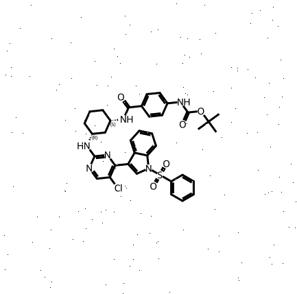 CC(C)(C)OC(=O)Nc1ccc(C(=O)N[C@H]2CCC[C@@H](Nc3ncc(Cl)c(-c4cn(S(=O)(=O)c5ccccc5)c5ccccc45)n3)C2)cc1